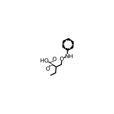 CCC(CONc1ccccc1)S(=O)(=O)O